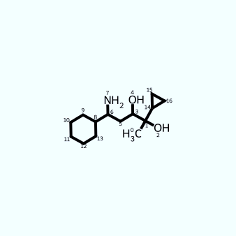 CC(O)(C(O)CC(N)C1CCCCC1)C1CC1